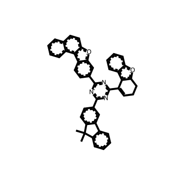 CC1(C)c2ccccc2-c2cc(-c3nc(C4=CCCc5oc6ccccc6c54)nc(-c4ccc5c(c4)oc4ccc6ccccc6c45)n3)ccc21